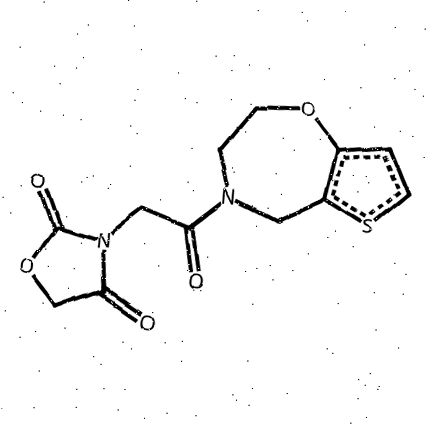 O=C(CN1C(=O)COC1=O)N1CCOc2ccsc2C1